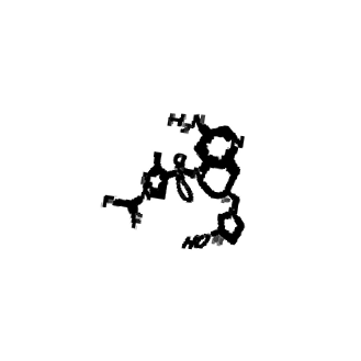 Cc1nn(C(F)F)cc1S(=O)(=O)N1C[C@H](CN2CC[C@@H](O)C2)Cc2ncc(N)cc21